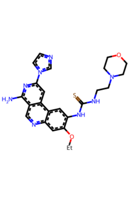 CCOc1cc2ncc3c(N)nc(-n4ccnc4)cc3c2cc1NC(=S)NCCN1CCOCC1